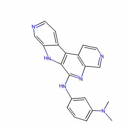 CN(C)c1cccc(Nc2nc3cnccc3c3c2[nH]c2cnccc23)c1